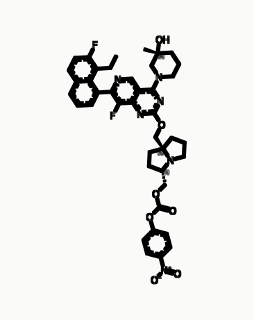 CCc1c(F)ccc2cccc(-c3ncc4c(N5CCC[C@@](C)(O)C5)nc(OC[C@@]56CCCN5[C@H](COC(=O)Oc5ccc([N+](=O)[O-])cc5)CC6)nc4c3F)c12